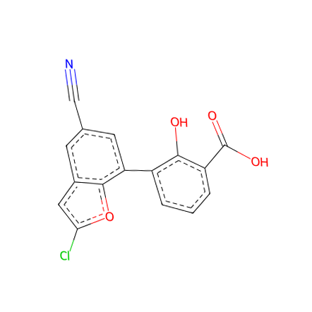 N#Cc1cc(-c2cccc(C(=O)O)c2O)c2oc(Cl)cc2c1